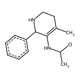 CC1=C(NC(C)Cl)C(c2ccccc2)NCC1